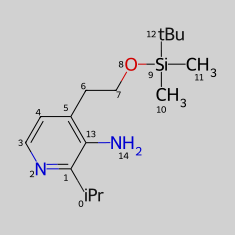 CC(C)c1nccc(CCO[Si](C)(C)C(C)(C)C)c1N